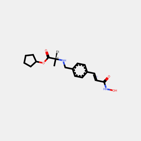 CC[C@](C)(NCc1ccc(/C=C/C(=O)NO)cc1)C(=O)OC1CCCC1